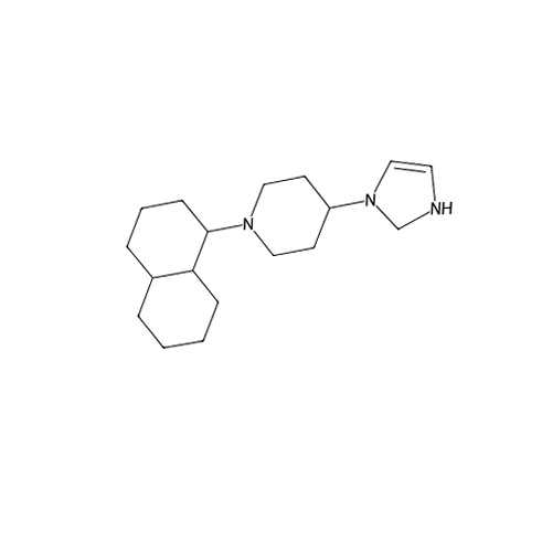 C1=CN(C2CCN(C3CCCC4CCCCC43)CC2)CN1